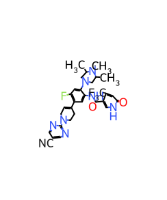 CC1CN(c2cc(F)c(C3=CCN(c4ncc(C#N)cn4)CC3)cc2NC(=O)c2c[nH]c(=O)cc2C(F)(F)F)CC(C)N1C